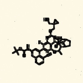 C#Cc1cccc2cc(NC(=O)OC(C)(C)C)cc(-c3nc4c5c(nc(OCC6(CO)CC6)nc5c3F)N3CC5CCC(C3C(C)O4)N5C(=O)O)c12